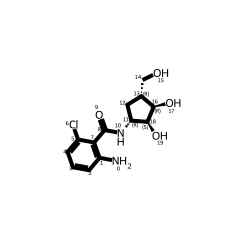 Nc1cccc(Cl)c1C(=O)N[C@@H]1C[C@H](CO)[C@@H](O)[C@H]1O